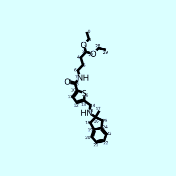 CCOC(CCCNC(=O)c1ccc(CNC2(C)Cc3ccccc3C2)s1)OCC